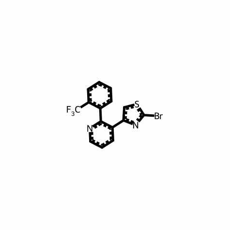 FC(F)(F)c1ccccc1-c1ncccc1-c1csc(Br)n1